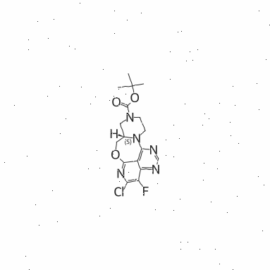 CC(C)(C)OC(=O)N1CCN2c3ncnc4c(F)c(Cl)nc(c34)OC[C@@H]2C1